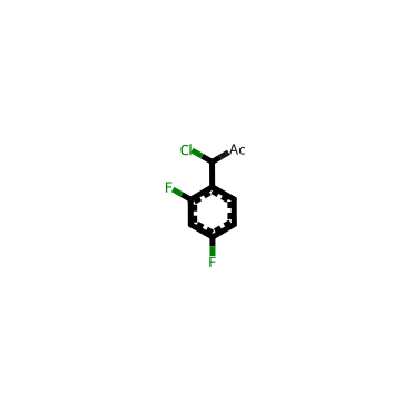 CC(=O)C(Cl)c1ccc(F)cc1F